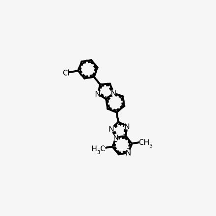 Cc1ncc(C)n2nc(-c3ccn4cc(-c5cccc(Cl)c5)nc4c3)nc12